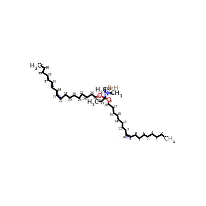 Br.CCCCCCCC/C=C\CCCCCCCCOC(CC)(OCCCCCCCC/C=C\CCCCCCCC)N(C)C